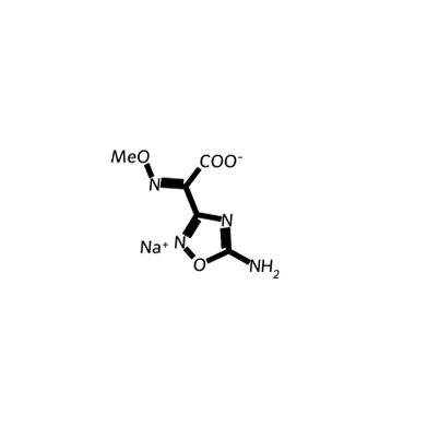 CON=C(C(=O)[O-])c1noc(N)n1.[Na+]